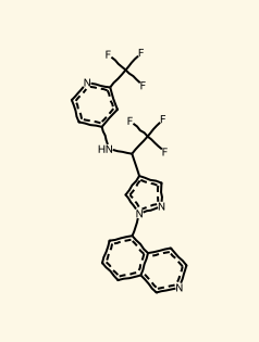 FC(F)(F)c1cc(NC(c2cnn(-c3cccc4cnccc34)c2)C(F)(F)F)ccn1